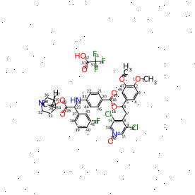 COc1ccc(C(Cc2c(Cl)c[n+]([O-])cc2Cl)OC(=O)c2ccc(NC(C(=O)O[C@H]3CN4CCC3CC4)c3cccc(F)c3)cc2)cc1OC.O=C(O)C(F)(F)F